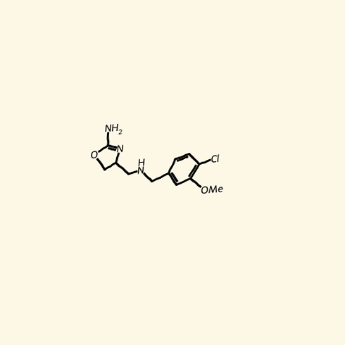 COc1cc(CNCC2COC(N)=N2)ccc1Cl